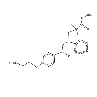 CCCCOC(=O)C(C)(C)CC(CC(CC)c1cc[n+](CCCS(=O)(=O)O)cc1)c1ccncc1